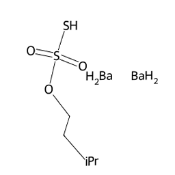 CC(C)CCOS(=O)(=O)S.[BaH2].[BaH2]